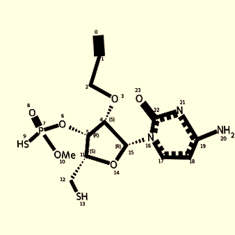 C#CCO[C@H]1[C@@H](OP(=O)(S)OC)[C@@H](CS)O[C@H]1n1ccc(N)nc1=O